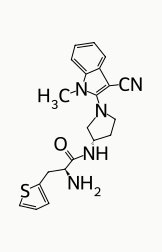 Cn1c(N2CC[C@H](NC(=O)[C@@H](N)Cc3cccs3)C2)c(C#N)c2ccccc21